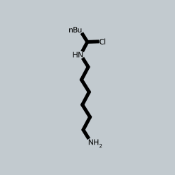 CCCCC(Cl)NCCCCCCN